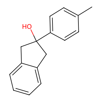 Cc1ccc(C2(O)Cc3ccccc3C2)cc1